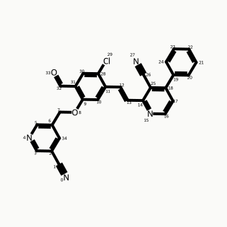 N#Cc1cncc(COc2cc(C=Cc3nccc(-c4ccccc4)c3C#N)c(Cl)cc2C=O)c1